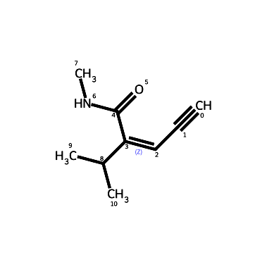 C#C/C=C(\C(=O)NC)C(C)C